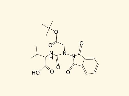 CC(C)C(NC(=O)N(CC(=O)OC(C)(C)C)N1C(=O)c2ccccc2C1=O)C(=O)O